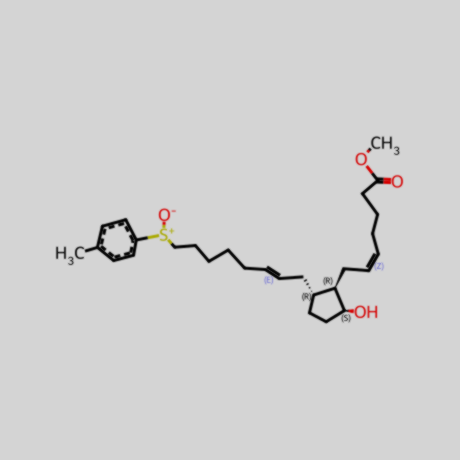 COC(=O)CCC/C=C\C[C@@H]1[C@@H](C/C=C/CCCCC[S+]([O-])c2ccc(C)cc2)CC[C@@H]1O